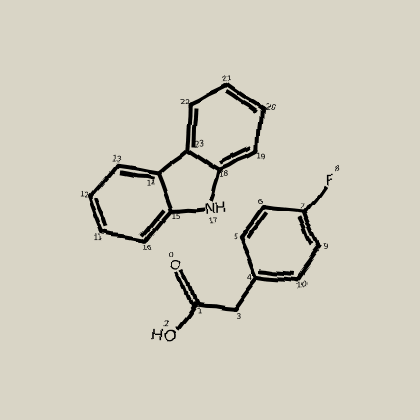 O=C(O)Cc1ccc(F)cc1.c1ccc2c(c1)[nH]c1ccccc12